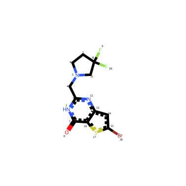 O=c1[nH]c(CN2CCC(F)(F)C2)nc2cc(Br)sc12